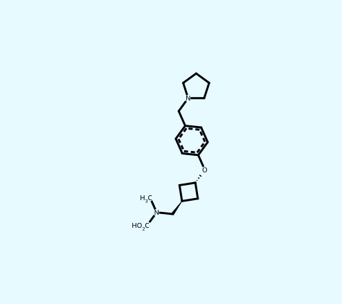 CN(C[C@H]1C[C@H](Oc2ccc(CN3CCCC3)cc2)C1)C(=O)O